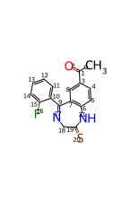 CC(=O)c1ccc2c(c1)C(c1ccccc1F)=NCC(=S)N2